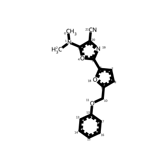 CN(C)c1oc(-c2ccc(COc3ccccc3)o2)nc1C#N